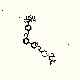 CS(=O)(=O)NC(=O)c1ccc(COc2cccc(-c3ccc(OCC4CCN(C(=O)CC(F)(F)F)CC4)nc3)c2)cc1